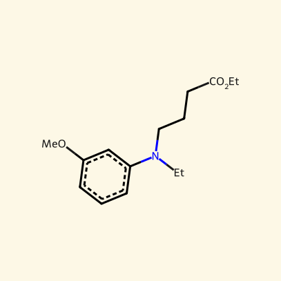 CCOC(=O)CCCN(CC)c1cccc(OC)c1